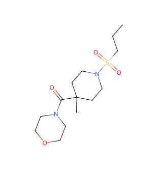 [CH2]C1(C(=O)N2CCOCC2)CCN(S(=O)(=O)CCC)CC1